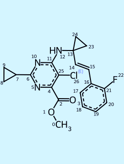 COC(=O)c1nc(C2CC2)nc(NC2(/C=C/c3ccccc3F)CC2)c1Cl